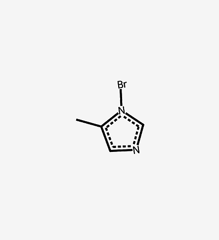 Cc1cncn1Br